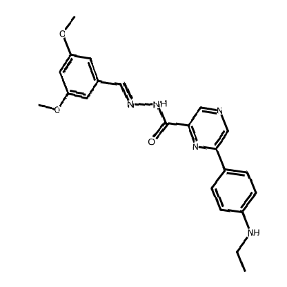 CCNc1ccc(-c2cncc(C(=O)NN=Cc3cc(OC)cc(OC)c3)n2)cc1